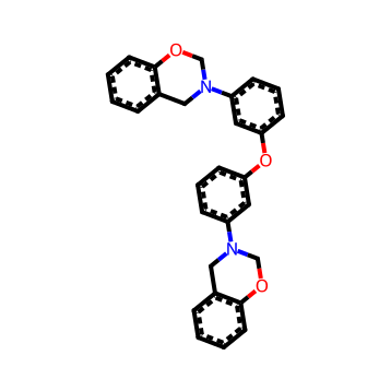 c1cc(Oc2cccc(N3COc4ccccc4C3)c2)cc(N2COc3ccccc3C2)c1